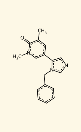 Cc1cc(-c2cncn2Cc2ccccc2)cn(C)c1=O